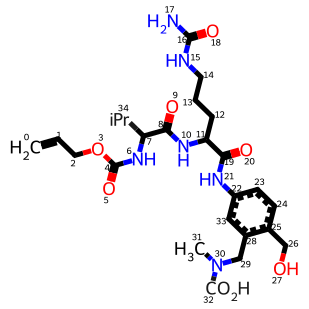 C=CCOC(=O)NC(C(=O)NC(CCCNC(N)=O)C(=O)Nc1ccc(CO)c(CN(C)C(=O)O)c1)C(C)C